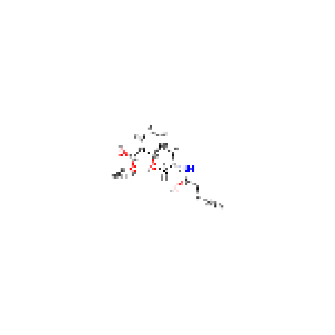 C#CCCC(=O)NC1BOc2c(cccc2C(=O)OCCCC)C1